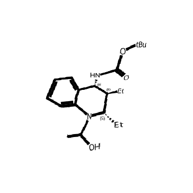 CC[C@@H]1[C@@H](NC(=O)OC(C)(C)C)c2ccccc2N(C(C)O)[C@H]1CC